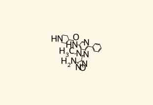 CCn1c(-c2nonc2N)nc2c(-c3ccccc3)ncc(NC(=O)C3CCNCC3)c21